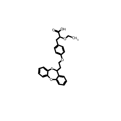 CCOC(Cc1ccc(OCCC2Sc3ccccc3Oc3ccccc32)cc1)C(=O)O